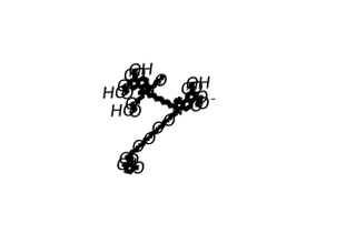 COCC[N+]1=C(/C=C/C=C/C=C/C=C2/N(CCOCCOCCOCCOCCC(=O)ON3C(=O)CCC3=O)c3ccc4c(S(=O)(=O)[O-])cc(S(=O)(=O)O)cc4c3C2(C)C)C(C)(CCCS(=O)(=O)O)c2c1ccc1c(S(=O)(=O)O)cc(S(=O)(=O)O)cc21